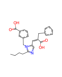 CCCCc1ncc(C=C(Cc2ccccc2)C(=O)O)n1Cc1cccc(C(=O)O)c1